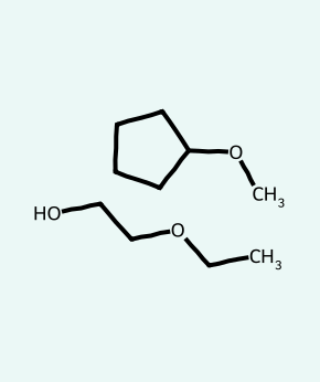 CCOCCO.COC1CCCC1